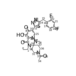 CCN1C(=O)c2c(O)c(=O)c(-c3nnc(Cc4ccc(F)cc4F)s3)cn2N(C)C12CCN(C(C)=O)CC2